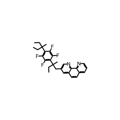 CCC(C)(CC)c1c(F)c(F)c(C(C)(CC)Cc2cnc3c(ccc4cccnc43)c2)c(F)c1F